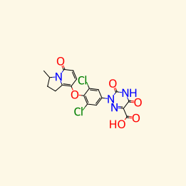 CC1CCc2c(Oc3c(Cl)cc(-n4nc(C(=O)O)c(=O)[nH]c4=O)cc3Cl)ccc(=O)n21